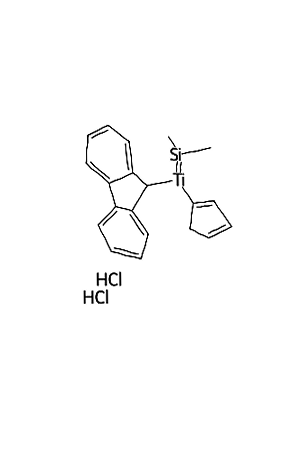 C[Si](C)=[Ti]([C]1=CC=CC1)[CH]1c2ccccc2-c2ccccc21.Cl.Cl